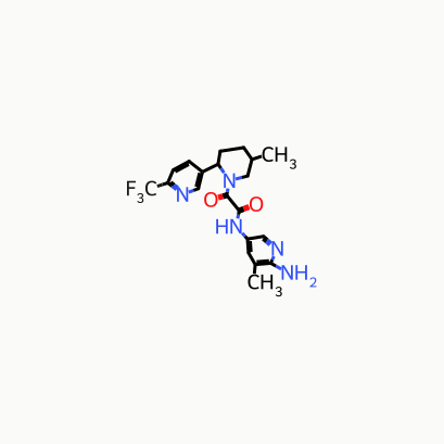 Cc1cc(NC(=O)C(=O)N2CC(C)CCC2c2ccc(C(F)(F)F)nc2)cnc1N